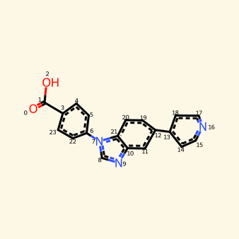 O=C(O)c1ccc(-n2cnc3cc(-c4ccncc4)ccc32)cc1